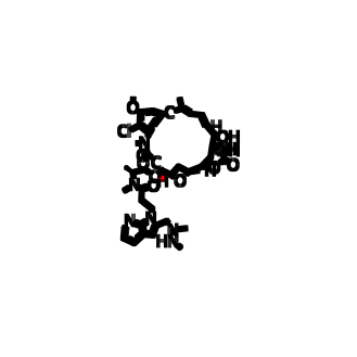 CNN(C)Cc1cc2cccnc2n1CCC(=O)N(C)[C@@H](C)C(=O)O[C@H]1CC(=O)N(C)c2cc(cc(OC)c2Cl)C/C(C)=C/C=C/[C@@H](O)[C@@]2(O)C[C@H](OC(=O)N2)C2(C)C[C@@]1(C)O2